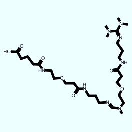 CN(C=NCCCNC(=O)CCOCCNC(=O)CCCC(=O)O)CCOCCC(=O)NCCCN=C(N(C)C)N(C)C